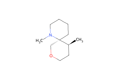 C[C@H]1CCOC[C@]12CCCCN2C